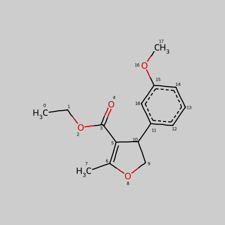 CCOC(=O)C1=C(C)OCC1c1cccc(OC)c1